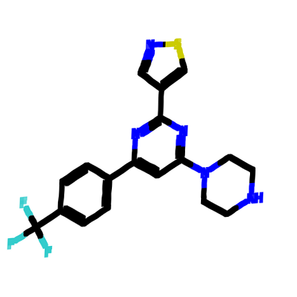 FC(F)(F)c1ccc(-c2cc(N3CCNCC3)nc(-c3cnsc3)n2)cc1